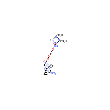 CCN1CCN(CC(=O)O)CCN(CC(=O)O)CCN(CC(=O)NCCOCCOCCOCCOCCC(=O)N2CCN(c3ncc(-c4cc(C)cc(F)c4)c(N4CCC(N)CC4)c3-c3nc4cc(I)ccc4[nH]3)CC2)CC1